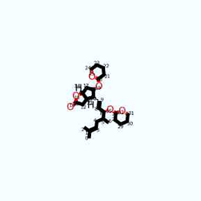 CC(C)=CCC(C)[C@@H](C=C[C@@H]1[C@H]2CC(=O)O[C@H]2C[C@H]1OC1CCCCO1)OC1CCCCO1